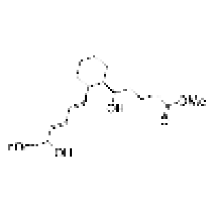 CCCCCCCCC(O)C=CC=C[C@H]1CCCC[C@H]1C(O)CCCC(=O)OC